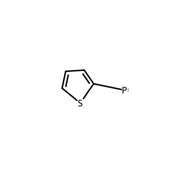 [P]c1cccs1